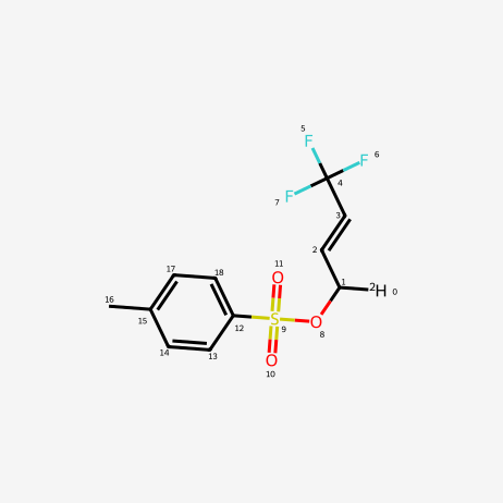 [2H]C(/C=C/C(F)(F)F)OS(=O)(=O)c1ccc(C)cc1